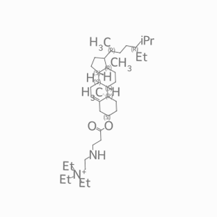 CC[C@H](CC[C@@H](C)C1CC[C@H]2[C@@H]3CC=C4C[C@@H](OC(=O)CCNCC[N+](CC)(CC)CC)CC[C@]4(C)[C@H]3CC[C@]12C)C(C)C